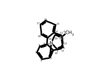 CN1C=CN2c3cccc4c3CCC(c3ccccc3-4)C12